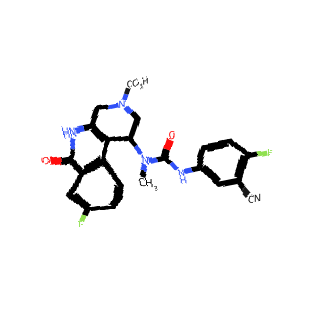 CN(C(=O)Nc1ccc(F)c(C#N)c1)C1CN(C(=O)O)Cc2[nH]c(=O)c3cc(F)ccc3c21